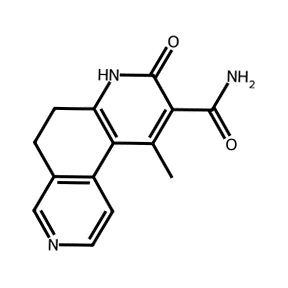 Cc1c2c([nH]c(=O)c1C(N)=O)CCc1cnccc1-2